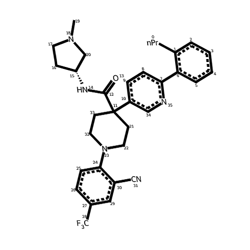 CCCc1ccccc1-c1ccc(C2(C(=O)N[C@@H]3CCN(C)C3)CCN(c3ccc(C(F)(F)F)cc3C#N)CC2)cn1